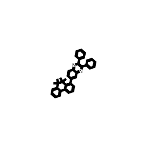 CC1(C)c2ccccc2-c2cccc(-c3ccc4nc(-c5ccccc5)c(-c5ccccc5)nc4c3)c2C1(C)C